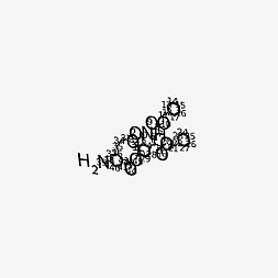 NC(=O)c1c(C(CCC(=O)OCc2ccccc2)C(=O)OCc2ccccc2)ccc2c1OCCCc1cc(N)ccc1C(=O)O2